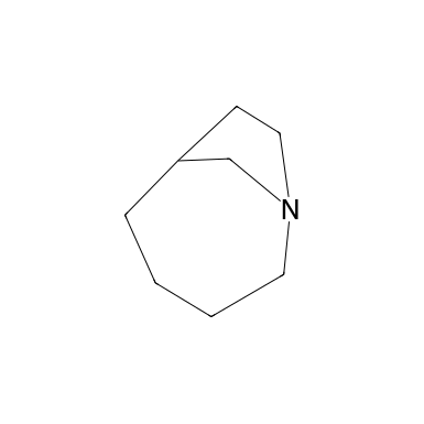 C1CCN2CCC(C1)C2